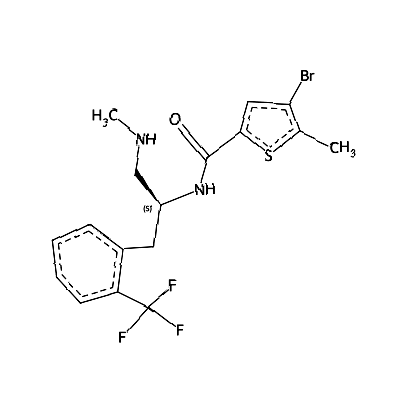 CNC[C@H](Cc1ccccc1C(F)(F)F)NC(=O)c1cc(Br)c(C)s1